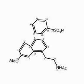 COc1ccc2cccc(CCNC(C)=O)c2c1.O=S(=O)(O)c1ccccc1